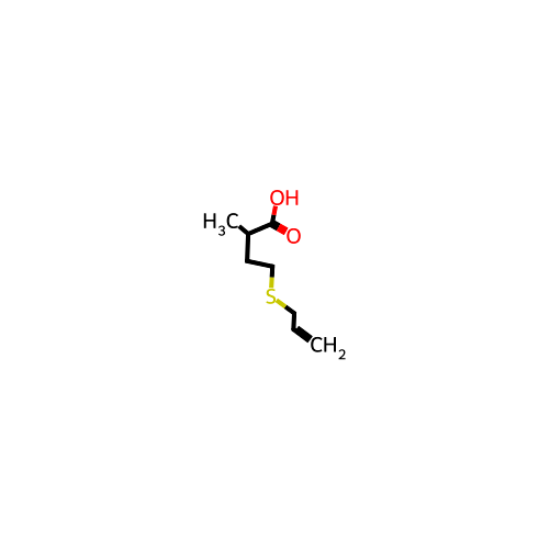 C=CCSCCC(C)C(=O)O